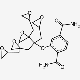 NC(=O)c1ccc(C(N)=O)c(OC(CC2CO2)(CC2CO2)C2(CC3CO3)OC2CC2CO2)c1